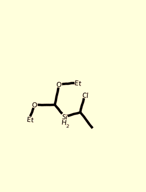 CCOC(OCC)[SiH2]C(C)Cl